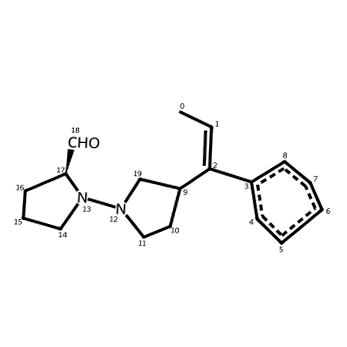 CC=C(c1ccccc1)C1CCN(N2CCC[C@H]2C=O)C1